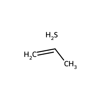 C=CC.S